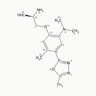 Cc1nnc(-c2cc(N(C)C)c(OC[C@H](N)C=O)cc2C)o1